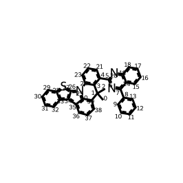 CC1(C)c2c(-c3nc(-c4ccccc4)c4ccccc4n3)cccc2-n2c3sc4ccccc4c3c3cccc1c32